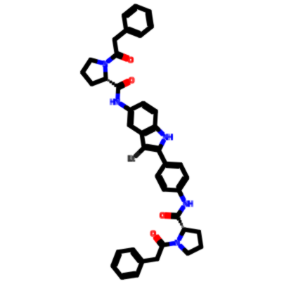 CCc1c(-c2ccc(NC(=O)[C@@H]3CCCN3C(=O)Cc3ccccc3)cc2)[nH]c2ccc(NC(=O)[C@@H]3CCCN3C(=O)Cc3ccccc3)cc12